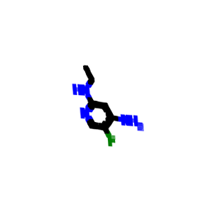 CCNc1cc(N)c(F)cn1